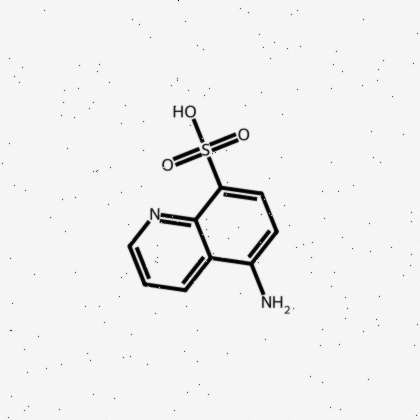 Nc1ccc(S(=O)(=O)O)c2ncccc12